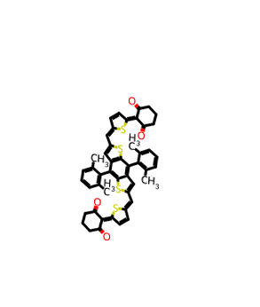 Cc1cccc(C)c1-c1c2cc(/C=c3/ccc(=C4C(=O)CCCC4=O)s3)sc2c(-c2c(C)cccc2C)c2cc(/C=c3/ccc(=C4C(=O)CCCC4=O)s3)sc12